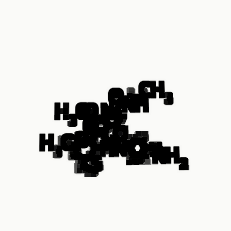 CCCNC(=O)c1ccc(-c2cc3c(cc2C(=O)Nc2ccc(CN)cc2)-c2sccc2C[C@@H](C)O3)c(C(=O)OC)n1